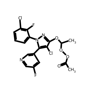 CC(=O)OOC(C)Oc1nn(-c2cccc(Cl)c2F)c(-c2cncc(F)c2)c1Cl